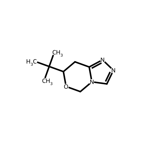 CC(C)(C)C1Cc2nncn2CO1